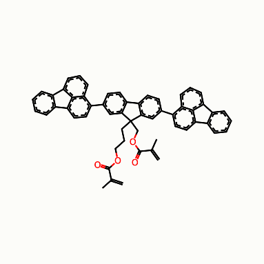 C=C(C)C(=O)OCCCC1(COC(=O)C(=C)C)c2cc(-c3ccc4c5c(cccc35)-c3ccccc3-4)ccc2-c2ccc(-c3ccc4c5c(cccc35)-c3ccccc3-4)cc21